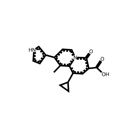 Cc1c(-c2cc[nH]c2)ccn2c(=O)c(C(=O)O)cc(C3CC3)c12